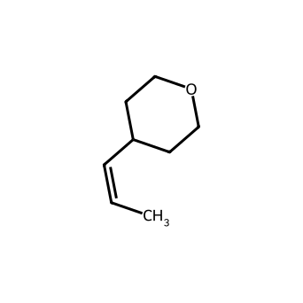 C/C=C\C1CCOCC1